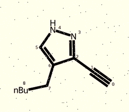 C#Cc1n[nH]cc1CCCCC